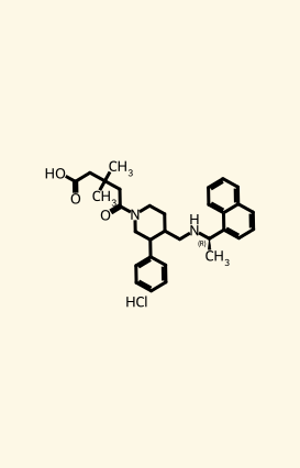 C[C@@H](NCC1CCN(C(=O)CC(C)(C)CC(=O)O)CC1c1ccccc1)c1cccc2ccccc12.Cl